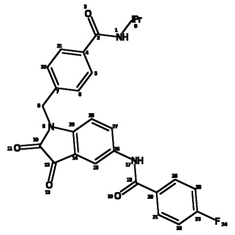 CC(C)NC(=O)c1ccc(CN2C(=O)C(=O)c3cc(NC(=O)c4ccc(F)cc4)ccc32)cc1